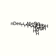 CCCCCCCCCCCCCCCCCCN[C@@H]1[C@@H](OC)O[C@H](CO)[C@@H](O)[C@@H]1O